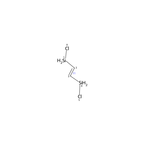 Cl[SiH2]/C=C/[SiH2]Cl